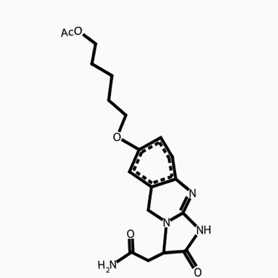 CC(=O)OCCCCCOc1ccc2c(c1)CN1C(=N2)NC(=O)C1CC(N)=O